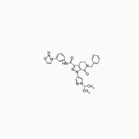 CC(C)n1cc(-n2nc(C(=O)Nc3cccc(N4C=CON4)c3)c3c2C(=O)N(Cc2ccccc2)CC3)cn1